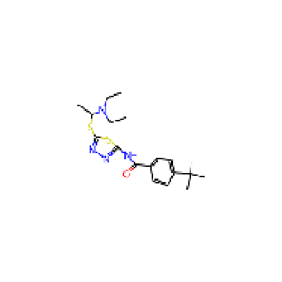 CCN(CC)C(C)Sc1nnc(NC(=O)c2ccc(C(C)(C)C)cc2)s1